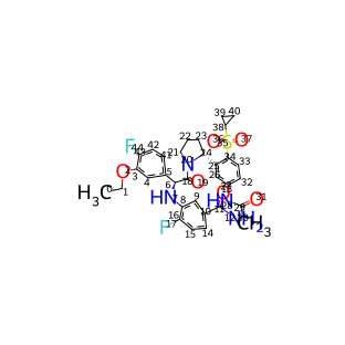 CCOc1cc([C@H](Nc2cc(C(N)=O)ccc2F)C(=O)N2CCC[C@@H]2c2cc(NC(C)=O)ccc2S(=O)(=O)C2CC2)ccc1F